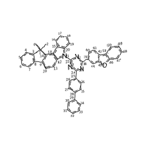 CC1(C)c2ccccc2-c2ccc3c(c21)c1ccccc1n3-c1nc(-c2ccc(-c3ccccc3)cc2)nc(-c2ccc3c(c2)oc2ccccc23)n1